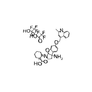 Cc1cc(COc2ccc(C3(N)CCN([C@H]4CCCC[C@@H]4C(=O)O)C3=O)cc2)c2ccccc2n1.O=C(O)C(F)(F)F.O=C(O)C(F)(F)F